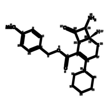 COc1ccc(COC(=O)C2=C(N3CCCCC3)CS[C@@H]3C(N)C(=O)N23)cc1